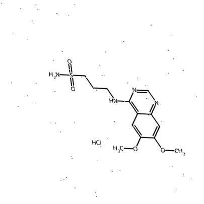 COc1cc2ncnc(NCCCS(N)(=O)=O)c2cc1OC.Cl